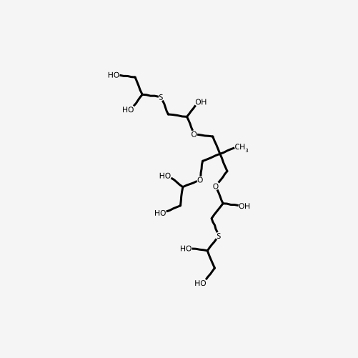 CC(COC(O)CO)(COC(O)CSC(O)CO)COC(O)CSC(O)CO